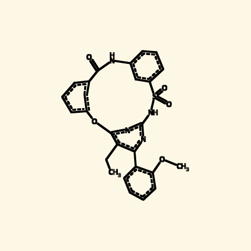 CCc1c2nc(nc1-c1ccccc1OC)NS(=O)(=O)c1cccc(c1)NC(=O)c1cccc(c1)O2